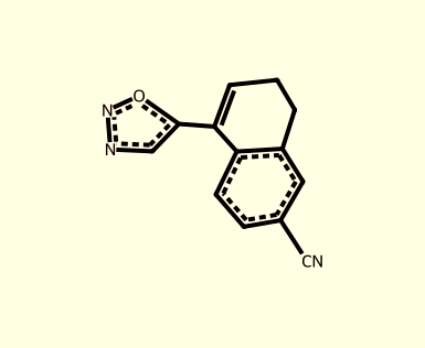 N#Cc1ccc2c(c1)CCC=C2c1cnno1